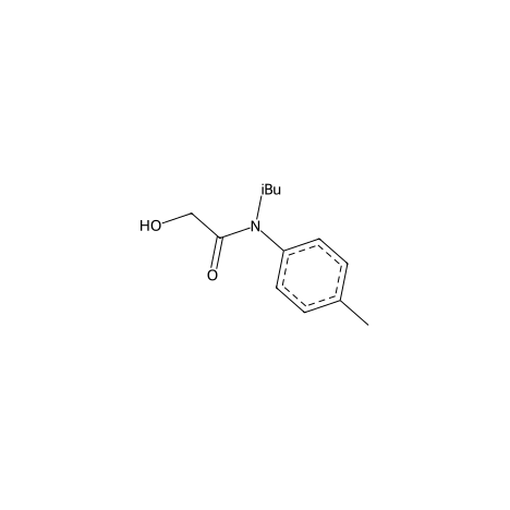 CCC(C)N(C(=O)CO)c1ccc(C)cc1